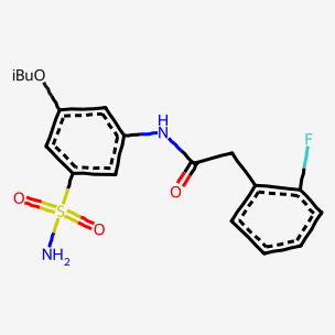 CC(C)COc1cc(NC(=O)Cc2ccccc2F)cc(S(N)(=O)=O)c1